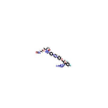 CC(C)C(C(C)OCCCN=C=O)n1ncn(-c2ccc(N3CCN(c4ccc(OCC5COC(CN/C=N\C=N)(c6ccc(F)cc6F)C5)cc4)CC3)cc2)c1=O